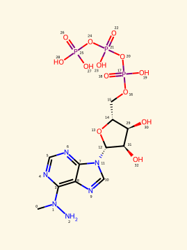 CN(N)c1ncnc2c1ncn2[C@@H]1O[C@H](COP(=O)(O)OP(=O)(O)OP(=O)(O)O)[C@@H](O)[C@H]1O